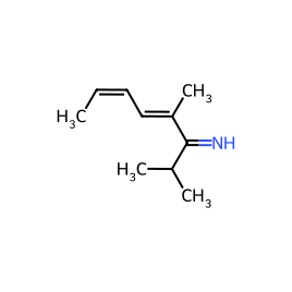 C/C=C\C=C(/C)C(=N)C(C)C